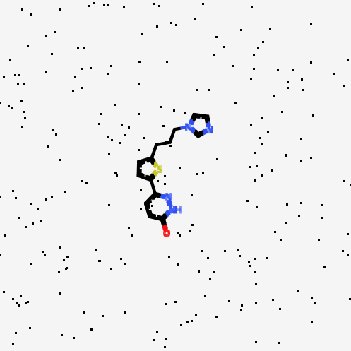 O=c1ccc(-c2ccc(CCCn3ccnc3)s2)n[nH]1